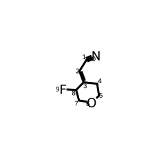 N#CC=C1CCOCC1F